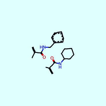 C=C(C)C(=O)NC1CCCCC1.C=C(C)C(=O)NCc1ccccc1